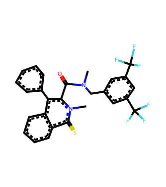 CN(Cc1cc(C(F)(F)F)cc(C(F)(F)F)c1)C(=O)c1c(-c2ccccc2)c2ccccc2c(=S)n1C